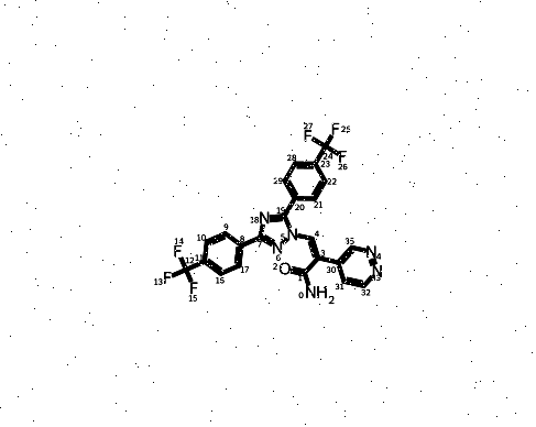 NC(=O)C(=Cn1nc(-c2ccc(C(F)(F)F)cc2)nc1-c1ccc(C(F)(F)F)cc1)c1ccnnc1